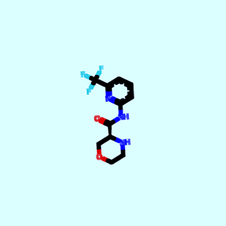 O=C(Nc1cccc(C(F)(F)F)n1)[C@@H]1COCCN1